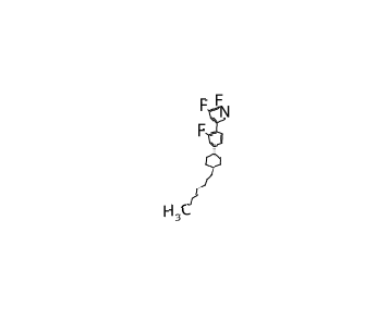 CCCCCCCC[C@H]1CC[C@H](c2ccc(-c3cnc(F)c(F)c3)c(F)c2)CC1